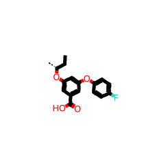 CC[C@@H](C)Oc1cc(Oc2ccc(F)cc2)cc(C(=O)O)c1